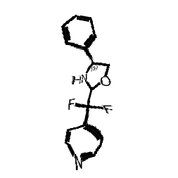 FC(F)(c1ccncc1)C1N[C@@H](c2ccccc2)CO1